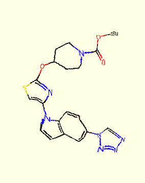 CC(C)(C)OC(=O)N1CCC(Oc2nc(-n3ccc4cc(-n5cnnn5)ccc43)cs2)CC1